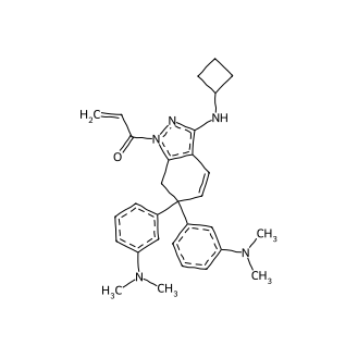 C=CC(=O)n1nc(NC2CCC2)c2c1CC(c1cccc(N(C)C)c1)(c1cccc(N(C)C)c1)C=C2